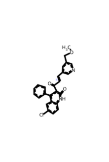 COCc1cncc(/C=C/C(=O)c2c(-c3ccccc3)c3cc(Cl)ccc3[nH]c2=O)c1